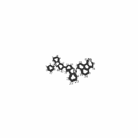 c1ccc(-n2c3ccccc3c3cc(-c4ccc5c(c4)c4ccccc4n5-c4ccc5c6c(cccc46)-c4ccncc4-5)ccc32)cc1